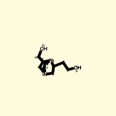 OCCC1CN2CCN1C(CO)C2